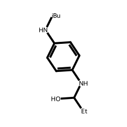 CCC(C)Nc1ccc(NC(O)CC)cc1